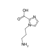 NCCCn1ccnc1C(=O)O